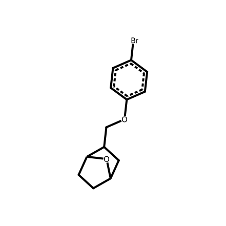 Brc1ccc(OCC2CC3CCC2O3)cc1